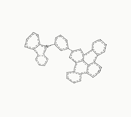 c1cc(-c2cc3c4ccccc4c4cccc5c6ccccc6c(c2)c3c45)cc(-n2c3ccccc3c3ccccc32)c1